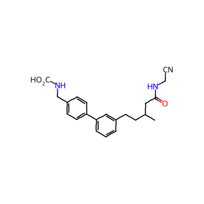 CC(CCc1cccc(-c2ccc(CNC(=O)O)cc2)c1)CC(=O)NCC#N